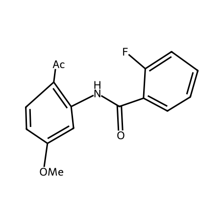 COc1ccc(C(C)=O)c(NC(=O)c2ccccc2F)c1